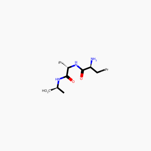 CC(C)C[C@H](N)C(=O)N[C@H](C(=O)N[C@@H](C)C(=O)O)C(C)C